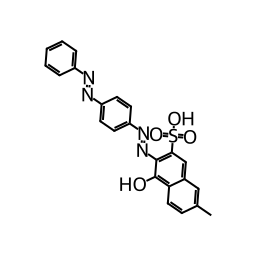 Cc1ccc2c(O)c(N=Nc3ccc(N=Nc4ccccc4)cc3)c(S(=O)(=O)O)cc2c1